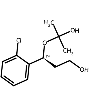 CC(C)(O)O[C@@H](CCO)c1ccccc1Cl